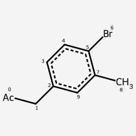 CC(=O)Cc1ccc(Br)c(C)c1